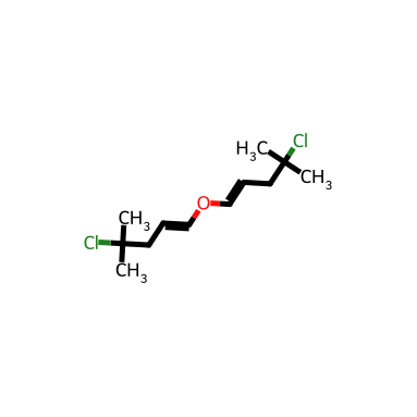 CC(C)(Cl)CC=COC=CCC(C)(C)Cl